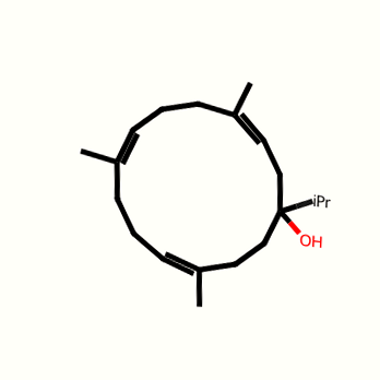 CC1=CCCC(C)=CCC(O)(C(C)C)CCC(C)=CCC1